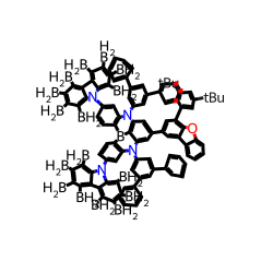 Bc1c(B)c(B)c2c(c1B)c1c(B)c(B)c(B)c(B)c1n2-c1ccc2c(c1)N(c1cc(-c3ccccc3)cc(-c3ccccc3)c1)c1cc(-c3cc(-c4cc(C(C)(C)C)cc(C(C)(C)C)c4)c4oc5ccccc5c4c3)cc3c1B2c1ccc(-n2c4c(B)c(B)c(B)c(B)c4c4c(B)c(B)c(B)c(B)c42)cc1N3c1cc(-c2ccccc2)cc(-c2ccccc2)c1